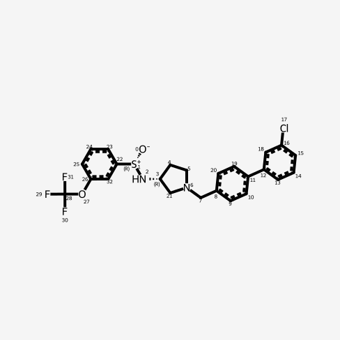 [O-][S@+](N[C@@H]1CCN(Cc2ccc(-c3cccc(Cl)c3)cc2)C1)c1cccc(OC(F)(F)F)c1